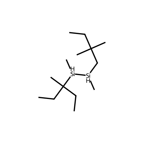 CCC(C)(C)C[SiH](C)[SiH](C)C(C)(CC)CC